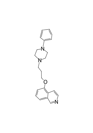 c1ccc(N2CCN(CCCOc3cccc4cnccc34)CC2)cc1